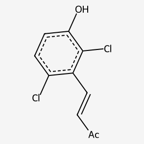 CC(=O)/C=C/c1c(Cl)ccc(O)c1Cl